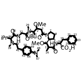 CCC(C)C(C(CC(=O)N1CCC[C@H]1C(OC)C(C)C(=O)N[C@@H](Cc1ccccc1)C(=O)O)OC)N(C)C(=O)CNC(=O)C(C(C)C)N(C)CCc1ccc(N(C)C)cc1